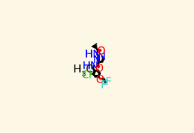 CC(NC(=O)c1ccnc(NC(=O)C2CC2)n1)c1ccc(OCC(F)F)cc1Cl